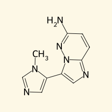 Cn1cncc1-c1cnc2ccc(N)nn12